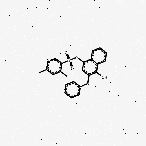 Cc1ccc(S(=O)(=O)Nc2cc(Sc3ccccc3)c(O)c3ccccc23)c(C)c1